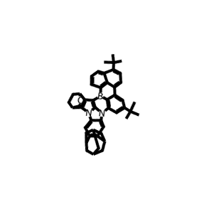 CC(C)(C)c1cc2c3c(c1)-n1c4cc5c(cc4n4c6c(c(c14)B3c1cccc3c(C(C)(C)C)ccc-2c13)C1CCC6CC1)C1CC2CC(CC5C2)C1